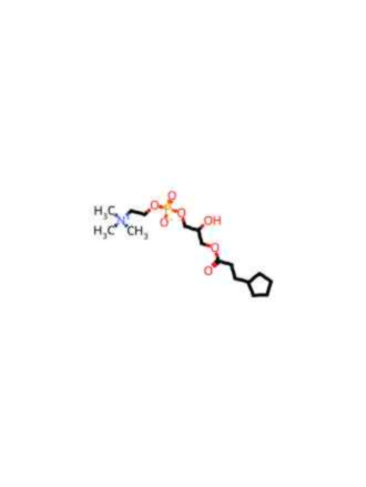 C[N+](C)(C)CCOP(=O)([O-])OCC(O)COC(=O)CCC1CCCC1